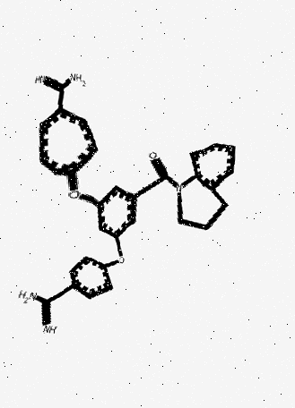 N=C(N)c1ccc(Oc2cc(Oc3ccc(C(=N)N)cc3)cc(C(=O)N3CCCc4ccccc43)c2)cc1